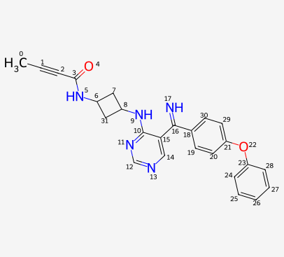 CC#CC(=O)NC1CC(Nc2ncncc2C(=N)c2ccc(Oc3ccccc3)cc2)C1